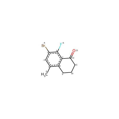 Cc1cc(Br)c(F)c2c1CCCC2=O